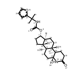 CC(C)(NC(=O)O[C@H]1CC[C@H]2[C@@H]3CC[C@H]4NC(=O)CC[C@]4(C)[C@H]3CC[C@]12C)c1ccco1